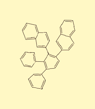 c1ccc(-c2ccc(-c3ccc4ccccc4c3)c(-c3ccc4ccccc4c3)c2-c2ccccc2)cc1